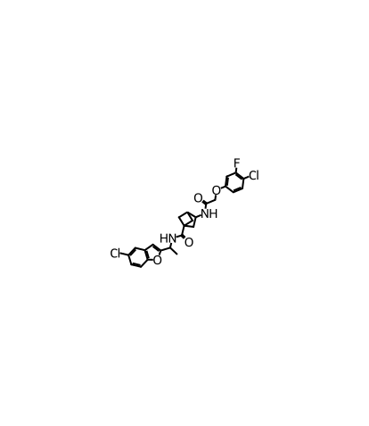 CC(NC(=O)C12CC(C1)C(NC(=O)COc1ccc(Cl)c(F)c1)C2)c1cc2cc(Cl)ccc2o1